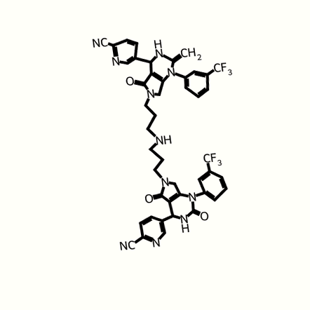 C=C1NC(c2ccc(C#N)nc2)C2=C(CN(CCCNCCCN3CC4=C(C3=O)C(c3ccc(C#N)nc3)NC(=O)N4c3cccc(C(F)(F)F)c3)C2=O)N1c1cccc(C(F)(F)F)c1